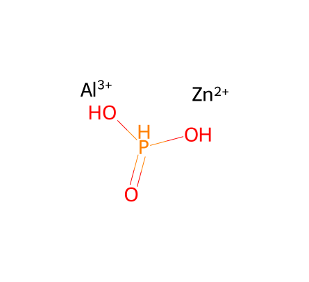 O=[PH](O)O.[Al+3].[Zn+2]